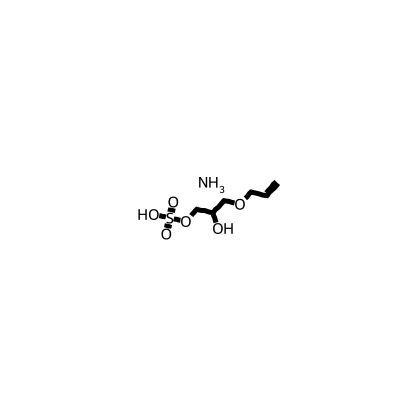 C=CCOCC(O)COS(=O)(=O)O.N